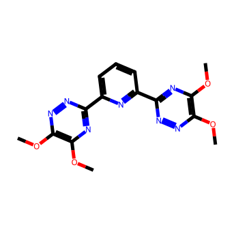 COc1nnc(-c2cccc(-c3nnc(OC)c(OC)n3)n2)nc1OC